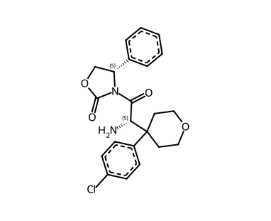 N[C@H](C(=O)N1C(=O)OC[C@@H]1c1ccccc1)C1(c2ccc(Cl)cc2)CCOCC1